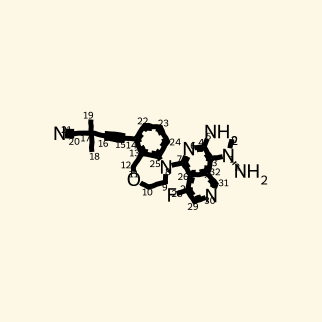 CN(N)c1c(N)nc(N2CCOCc3c(C#CC(C)(C)C#N)cccc32)c2c(F)cncc12